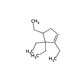 CCC1=[C]CC(CC)C1(CC)CC